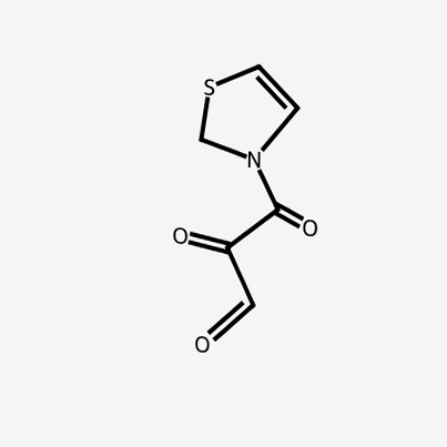 O=CC(=O)C(=O)N1C=CSC1